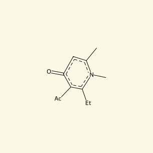 CCc1c(C(C)=O)c(=O)cc(C)n1C